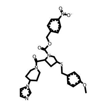 COc1ccc(CSC2CC(C(=O)N3CCC(n4ccnc4)CC3)N(C(=O)OCc3ccc([N+](=O)[O-])cc3)C2)cc1